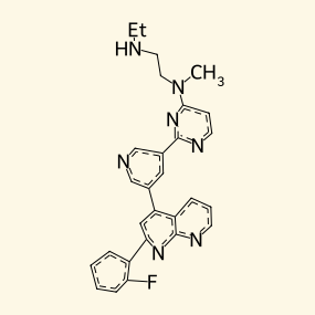 CCNCCN(C)c1ccnc(-c2cncc(-c3cc(-c4ccccc4F)nc4ncccc34)c2)n1